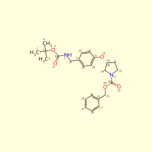 CC(C)(C)OC(=O)NCc1ccc(O[C@@H]2CCN(C(=O)OCc3ccccc3)C2)cc1